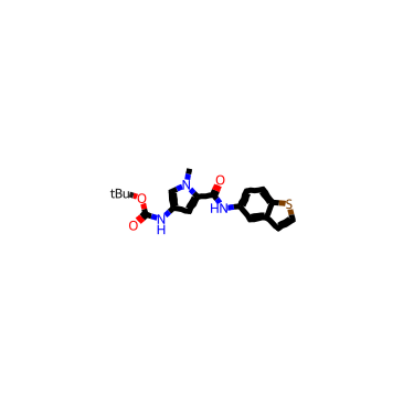 Cn1cc(NC(=O)OC(C)(C)C)cc1C(=O)Nc1ccc2sccc2c1